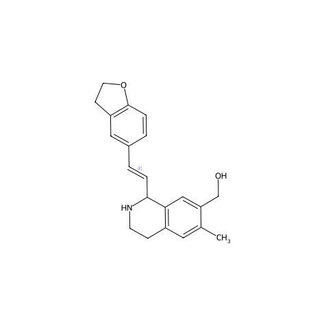 Cc1cc2c(cc1CO)C(/C=C/c1ccc3c(c1)CCO3)NCC2